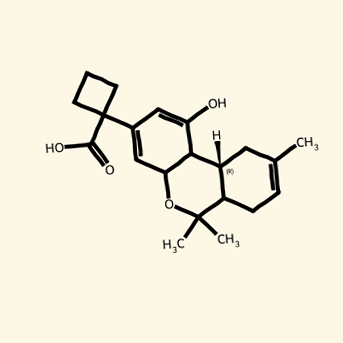 CC1=CCC2[C@@H](C1)C1C(O)=CC(C3(C(=O)O)CCC3)=CC1OC2(C)C